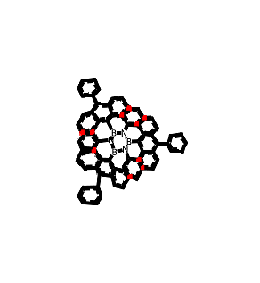 c1ccc(-c2c3ccccc3c(B3N(c4ccccc4)B(c4c5ccccc5c(-c5ccccc5)c5ccccc45)N(c4ccccc4)B(c4c5ccccc5c(-c5ccccc5)c5ccccc45)N3c3ccccc3)c3ccccc23)cc1